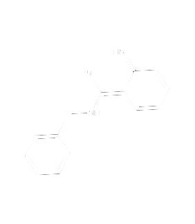 N=C1C=CC=C/C1=C(/N)NSc1ccccc1